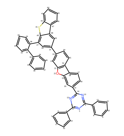 c1ccc(-c2nc(-c3ccccc3)nc(-c3ccc4c(c3)oc3cc(-c5cc(-c6ccccc6-c6ccccc6)c6sc7ccccc7c6c5)ccc34)n2)cc1